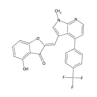 Cn1cc(C=C2Oc3cccc(O)c3C2=O)c2c(-c3ccc(C(F)(F)F)cc3)ccnc21